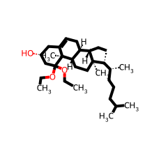 CCOC1(OCC)C[C@H](O)CC2=CC[C@H]3[C@@H]4CC[C@H]([C@H](C)CCCC(C)C)[C@@]4(C)CC[C@@H]3[C@]21C